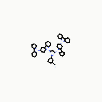 N=Cc1cccc(-c2nc(-n3c4ccccc4c4cc(-n5c6ccccc6c6ccccc65)ccc43)cc(-n3c4ccccc4c4cc(-n5c6ccccc6c6ccccc65)ccc43)n2)c1